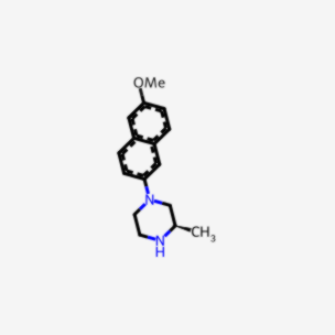 COc1ccc2cc(N3CCN[C@H](C)C3)ccc2c1